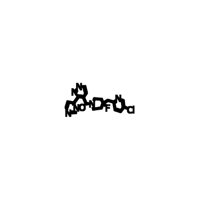 O=C(c1ccnnc1-c1ccncn1)N1CCC(F)(Cc2ccc(Cl)cn2)CC1